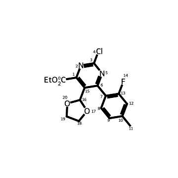 CCOC(=O)c1nc(Cl)nc(-c2ccc(C)cc2F)c1C1OCCO1